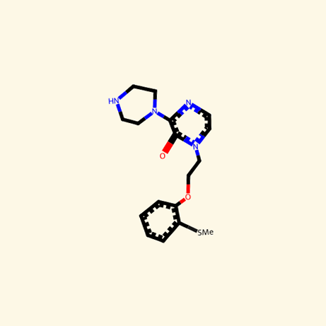 CSc1ccccc1OCCn1ccnc(N2CCNCC2)c1=O